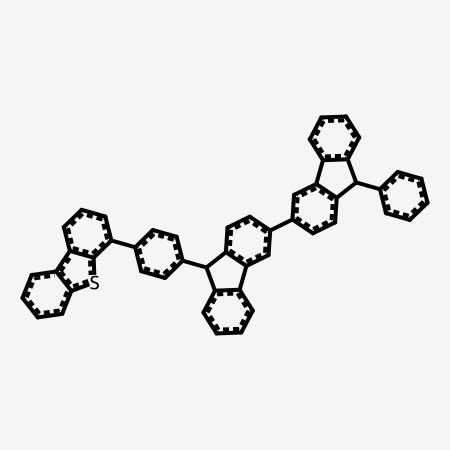 c1ccc(C2c3ccccc3-c3cc(-c4ccc5c(c4)-c4ccccc4C5c4ccc(-c5cccc6c5sc5ccccc56)cc4)ccc32)cc1